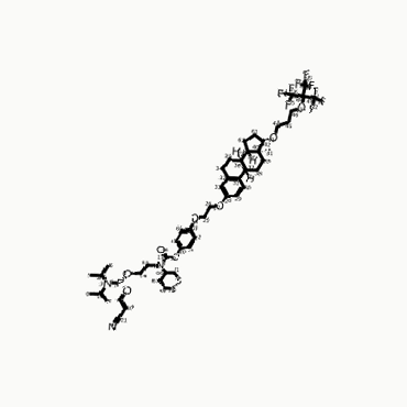 CC(C)N(C(C)C)P(OCCC#N)OCCN(C(=O)Oc1ccc(OCCOc2ccc3c(c2)CC[C@@H]2[C@@H]3CC[C@]3(C)[C@@H](OCCCOC(C(F)(F)F)(C(F)(F)F)C(F)(F)F)CC[C@@H]23)cc1)C1CCSSC1